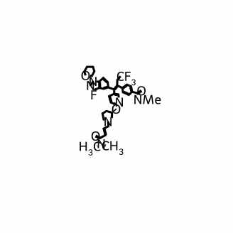 CNC(=O)c1ccc(/C(CC(F)(F)F)=C(\c2ccc(O[C@@H]3CCCN(C/C=C/C(=O)N(C)C)C3)nc2)c2ccc3c(c2)c(F)nn3[C@H]2CCCCO2)cc1